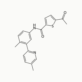 CC(=O)c1ccc(C(=O)Nc2ccc(C)c(-c3ccc(C)cn3)c2)s1